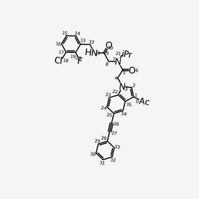 CC(=O)c1cn(CC(=O)N(CC(=O)NCc2cccc(Cl)c2F)C(C)C)c2ccc(C#Cc3ccccc3)cc12